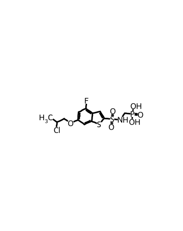 CC(Cl)COc1cc(F)c2cc(S(=O)(=O)NCP(=O)(O)O)sc2c1